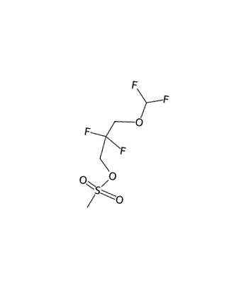 CS(=O)(=O)OCC(F)(F)COC(F)F